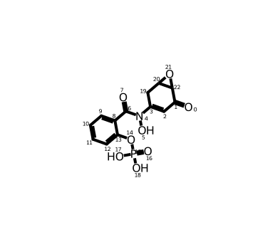 O=C1C=C(N(O)C(=O)c2ccccc2OP(=O)(O)O)CC2OC12